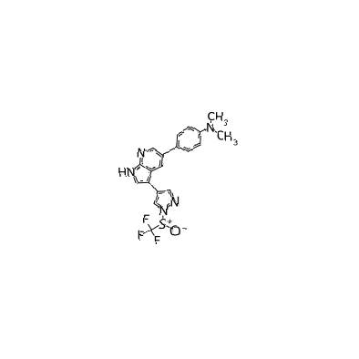 CN(C)c1ccc(-c2cnc3[nH]cc(-c4cnn([S+]([O-])C(F)(F)F)c4)c3c2)cc1